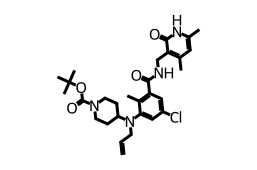 C=CCN(c1cc(Cl)cc(C(=O)NCc2c(C)cc(C)[nH]c2=O)c1C)C1CCN(C(=O)OC(C)(C)C)CC1